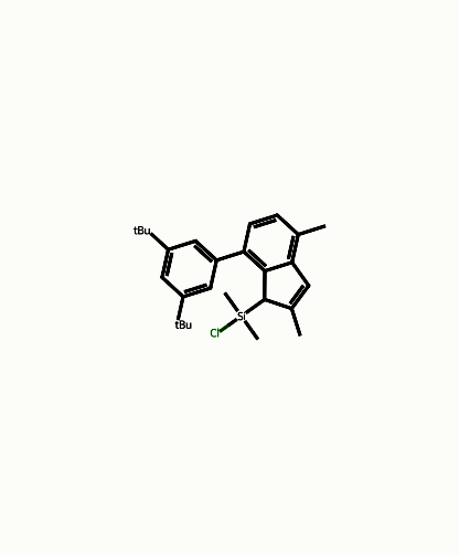 CC1=Cc2c(C)ccc(-c3cc(C(C)(C)C)cc(C(C)(C)C)c3)c2C1[Si](C)(C)Cl